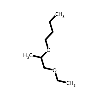 C[CH]OCC(C)OCCCC